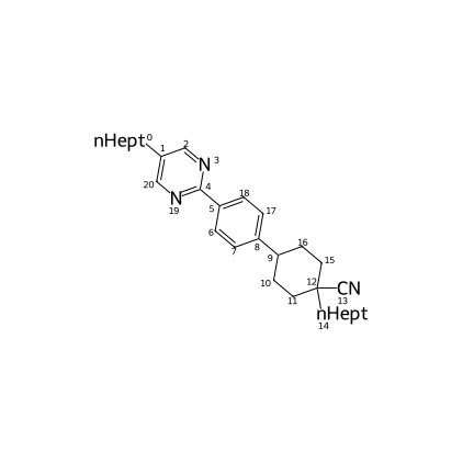 CCCCCCCc1cnc(-c2ccc(C3CCC(C#N)(CCCCCCC)CC3)cc2)nc1